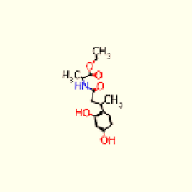 CCOC(=O)C(C)NC(=O)CC(C)c1ccc(O)cc1O